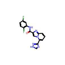 O=C(Nc1cc(F)ccc1F)c1cn2c(-c3nc[nH]n3)cccc2n1